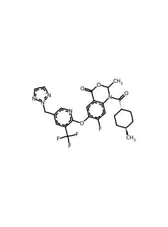 CC1OC(=O)c2cc(Oc3ncc(Cn4nccn4)cc3C(F)(F)F)c(F)cc2N1C(=O)[C@H]1CC[C@H](C)CC1